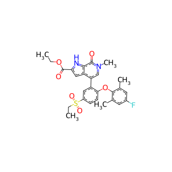 CCOC(=O)c1cc2c(-c3cc(S(=O)(=O)CC)ccc3Oc3c(C)cc(F)cc3C)cn(C)c(=O)c2[nH]1